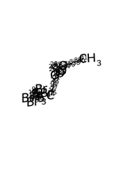 Brc1ccc(Br)s1.Brc1ccc(Br)s1.CCCCCCCCOC(=O)c1ccccc1C(=O)OCCCCCCCC